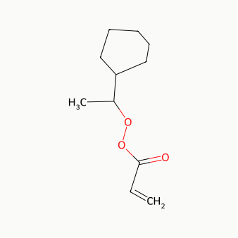 C=CC(=O)OOC(C)C1CCCCC1